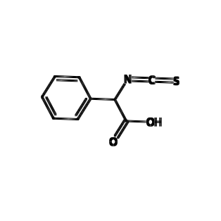 O=C(O)C(N=C=S)c1ccccc1